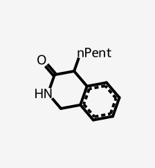 CCCCCC1C(=O)NCc2ccccc21